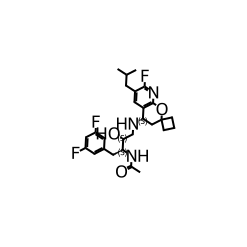 CC(=O)N[C@@H](Cc1cc(F)cc(F)c1)[C@@H](O)CN[C@H]1CC2(CCC2)Oc2nc(F)c(CC(C)C)cc21